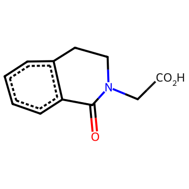 O=C(O)CN1CCc2ccccc2C1=O